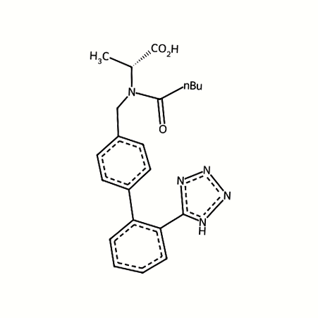 CCCCC(=O)N(Cc1ccc(-c2ccccc2-c2nnn[nH]2)cc1)[C@H](C)C(=O)O